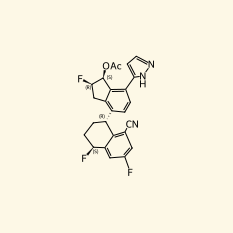 CC(=O)O[C@H]1c2c(-c3ccn[nH]3)ccc([C@H]3CC[C@H](F)c4cc(F)cc(C#N)c43)c2C[C@H]1F